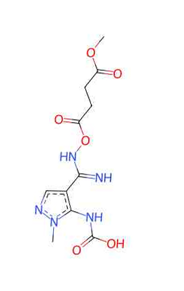 COC(=O)CCC(=O)ONC(=N)c1cnn(C)c1NC(=O)O